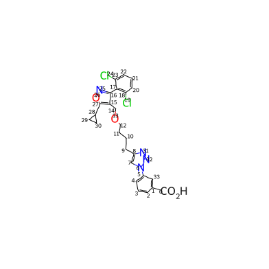 O=C(O)c1cccc(-n2cc(CCCCOCc3c(-c4c(Cl)cccc4Cl)noc3C3CC3)nn2)c1